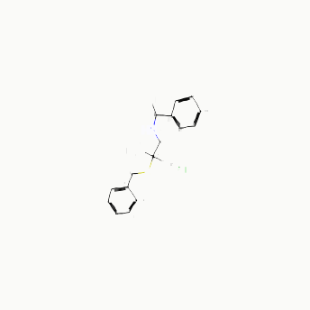 CC(NCC(C)(C)SCc1ccccc1)c1ccccc1.Cl